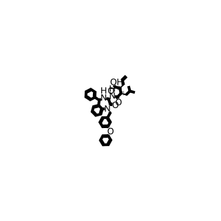 C=CC[C@H](C(=O)O)[C@@H](CC(C)C)C(=O)NC1NC(c2ccccc2)c2ccccc2N(Cc2cccc(Oc3ccccc3)c2)C1=O